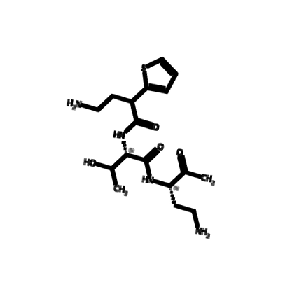 CC(=O)[C@H](CCN)NC(=O)[C@@H](NC(=O)C(CCN)c1cccs1)C(C)O